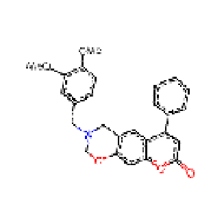 COc1ccc(CN2COc3cc4oc(=O)cc(-c5ccccc5)c4cc3C2)cc1OC